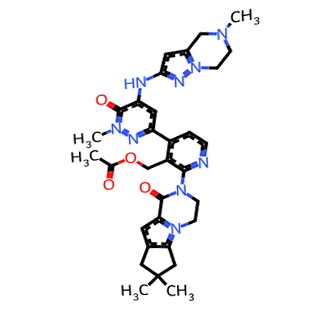 CC(=O)OCc1c(-c2cc(Nc3cc4n(n3)CCN(C)C4)c(=O)n(C)n2)ccnc1N1CCn2c(cc3c2CC(C)(C)C3)C1=O